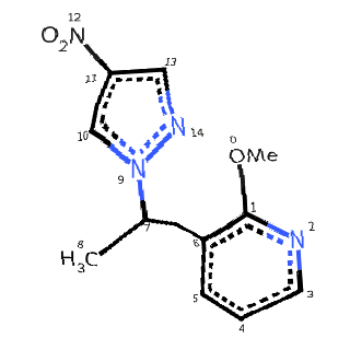 COc1ncccc1C(C)n1cc([N+](=O)[O-])cn1